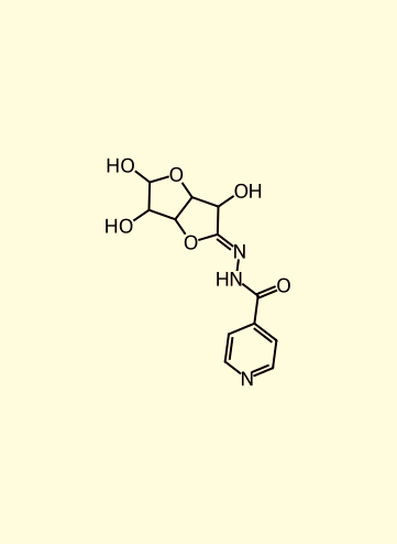 O=C(N/N=C1\OC2C(O)C(O)OC2C1O)c1ccncc1